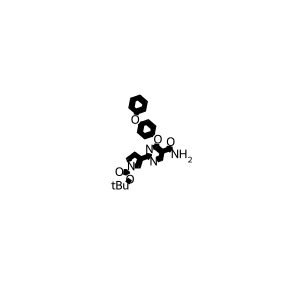 CC(C)(C)OC(=O)N1C=C(c2ncc(C(N)=O)c(Oc3ccc(Oc4ccccc4)cc3)n2)CC1